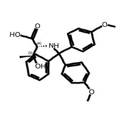 COc1ccc(C(N[C@@H](C(=O)O)[C@H](C)O)(c2ccccc2)c2ccc(OC)cc2)cc1